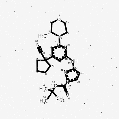 C[C@@H]1COCCN1c1cc(C2(C#N)CCCC2)cc(Nc2ccn(C(=O)OC(C)(C)C)n2)n1